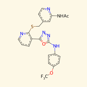 CC(=O)Nc1cc(CSc2ncccc2-c2nnc(Nc3ccc(OC(F)(F)F)cc3)o2)ccn1